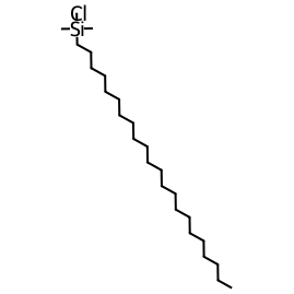 CCCCCCCCCCCCCCCCCCCCCC[Si](C)(C)Cl